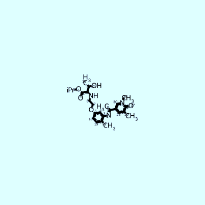 C/C(=N\c1cc(OCCNC(C(=O)OC(C)C)C(C)O)ccc1C)c1cc(C)c(=O)n(C)c1